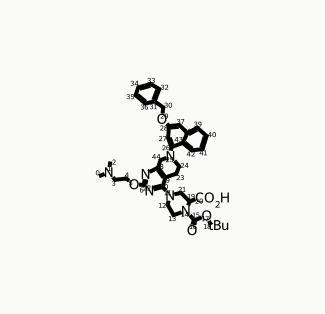 CN(C)CCOc1nc2c(c(N3CCN(C(=O)OC(C)(C)C)C(C(=O)O)C3)n1)CCN(c1cc(OCc3ccccc3)cc3ccccc13)C2